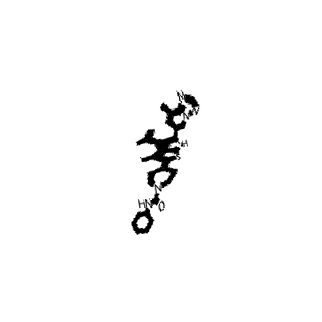 Cc1c(C2CCN(C(=O)NC3CCCCC3)CC2)sc2[nH]c(-c3cc(C)c4ncnn4c3)c(C(C)C)c12